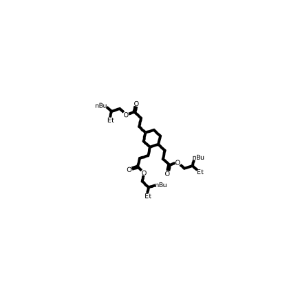 CCCCC(CC)COC(=O)CCC1CCC(CCC(=O)OCC(CC)CCCC)C(CCC(=O)OCC(CC)CCCC)C1